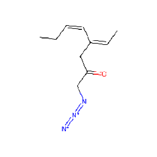 C/C=C(\C=C/CC)CC(=O)CN=[N+]=[N-]